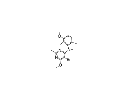 COc1ccc(C)c(Nc2nc(C)nc(OC)c2Br)c1C